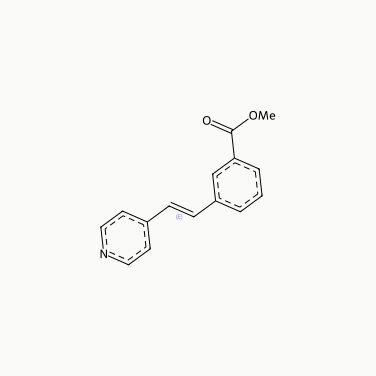 COC(=O)c1cccc(/C=C/c2ccncc2)c1